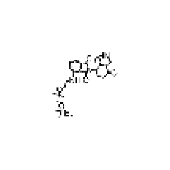 CCC(C)(C)OCC(C)(C)OCCNc1cccc2c1C(=O)N(C1CCC(=O)C(C=N)C1=O)C2=O